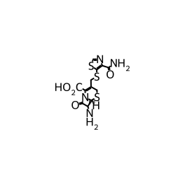 NC(=O)c1ncsc1SCC1=C(C(=O)O)N2C(=O)C(N)[C@H]2SC1